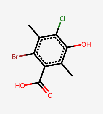 Cc1c(Cl)c(O)c(C)c(C(=O)O)c1Br